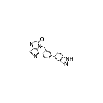 O=c1cnc2ccncc2n1Cc1cccc(-c2ccc3[nH]ncc3c2)c1